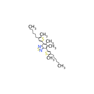 CCCCCCc1cc(-c2c(C)c(C)c(-c3cc(CCCCCC)c(C)s3)c3nsnc23)sc1C